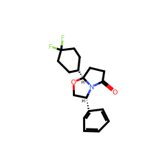 O=C1CC[C@]2(C3CCC(F)(F)CC3)OC[C@@H](c3ccccc3)N12